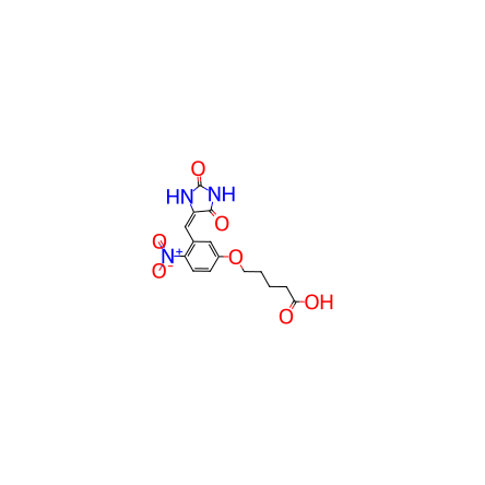 O=C(O)CCCCOc1ccc([N+](=O)[O-])c(C=C2NC(=O)NC2=O)c1